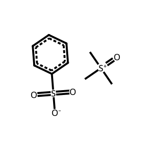 C[S+](C)(C)=O.O=S(=O)([O-])c1ccccc1